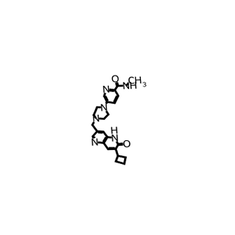 CNC(=O)c1ccc(N2CCN(Cc3cnc4cc(C5CCC5)c(=O)[nH]c4c3)CC2)cn1